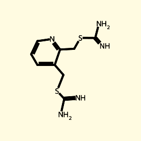 N=C(N)SCc1cccnc1CSC(=N)N